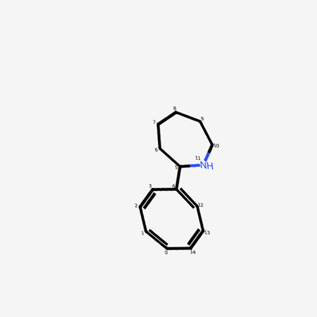 [C]1=CC=CC(C2CCCCCN2)=CC=C1